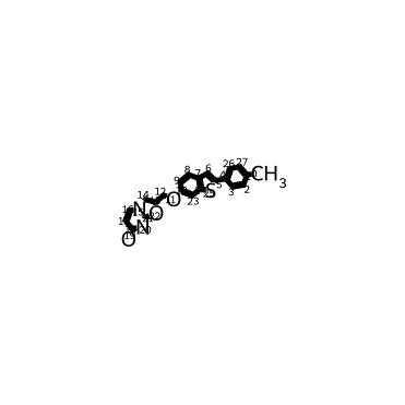 Cc1ccc(-c2cc3ccc(OCC4Cn5ccc(=O)nc5O4)cc3s2)cc1